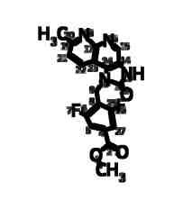 COC(=O)c1cc(F)c(Cn2c(=O)[nH]c3cnc4nc(C)ccc4c32)c(F)c1